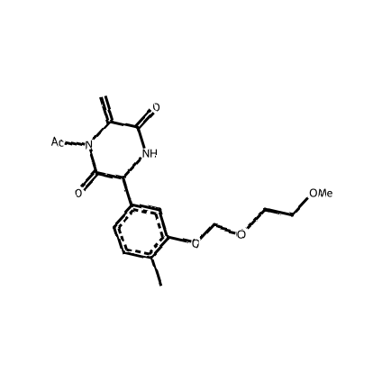 C=C1C(=O)NC(c2ccc(C)c(OCOCCOC)c2)C(=O)N1C(C)=O